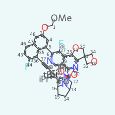 COCOc1cc(-c2ncc3c(N4CC5CCC(C4)N5C(=O)OC(C)(C)C)nc4c(c3c2F)OCC42COC2)c2c(C#C[Si](C(C)C)(C(C)C)C(C)C)c(F)ccc2c1